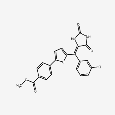 COC(=O)c1ccc(-c2ccc(C(=C3NC(=O)NC3=O)c3cccc(Cl)c3)o2)cc1